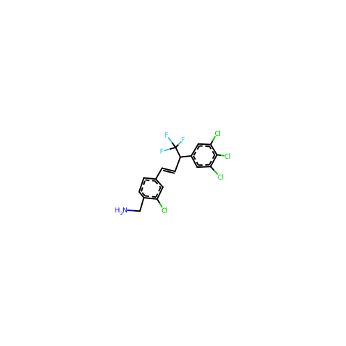 NCc1ccc(C=CC(c2cc(Cl)c(Cl)c(Cl)c2)C(F)(F)F)cc1Cl